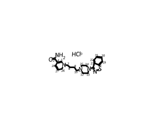 Cl.NC(=O)C1=CN(CCCCN2CCN(c3nsc4ccccc34)CC2)CC=C1